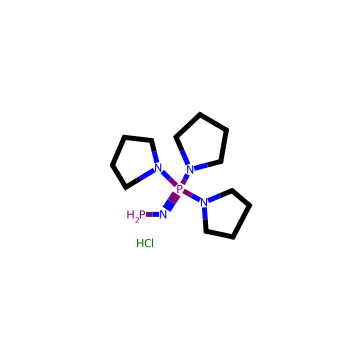 Cl.PN=P(N1CCCC1)(N1CCCC1)N1CCCC1